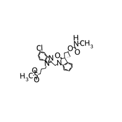 CNC(=O)O[C@H]1C[C@@]2(C1)C(=O)N(Cc1nc3cc(Cl)ccc3n1CCCS(C)(=O)=O)c1ccccc12